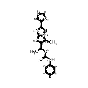 Cc1c(C(C)OC(=O)Nc2ccccc2)sc2nc(-c3cncs3)nn12